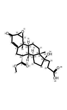 COC(=O)[C@@H]1CC2=CC(=O)C3OC3[C@]2(C)[C@H]2CC[C@@]3(C)[C@@H](CC[C@@]3(O)CCC(=O)O)[C@H]12